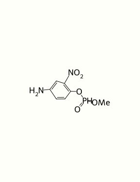 CO[PH](=O)Oc1ccc(N)cc1[N+](=O)[O-]